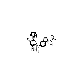 CC(=O)N[C@H]1CCc2cc(Nc3nc(-n4cccn4)c(F)cc3N)ccc21